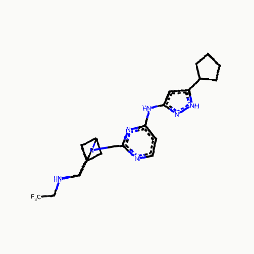 FC(F)(F)CNCC12CC(C1)N(c1nccc(Nc3cc(C4CCCC4)[nH]n3)n1)C2